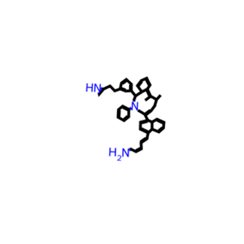 C/C1=C2/C=CC=CC2C(c2cccc(CCC3CN3)c2)CN(c2ccccc2)C/C(C2=CC=C(/C=C/C=C\CN)C3C=CC=CC23)=C\CC1C